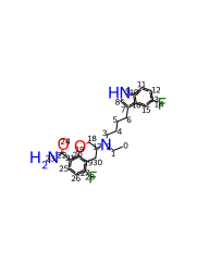 CCN(CCCCc1c[nH]c2ccc(F)cc12)C1COc2c(C(N)=O)ccc(F)c2C1